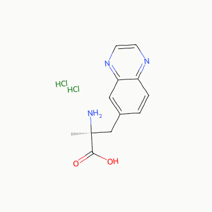 C[C@](N)(Cc1ccc2nccnc2c1)C(=O)O.Cl.Cl